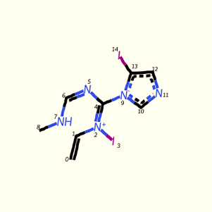 C=C/[N+](I)=C(\N=C/NC)n1cncc1I